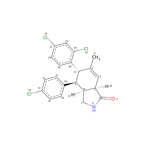 CC1=C[C@H]2C(=O)NC[C@H]2[C@@H](c2ccc(Cl)cc2)[C@@H]1c1ccc(Cl)cc1Cl